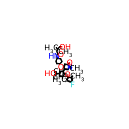 Cc1cc(F)cc(C)c1Oc1ccc(C(C)(C)O)cc1-c1cn(C)c(=O)cc1OC1CCC(NC(=O)CC(C)(C)CO)CC1